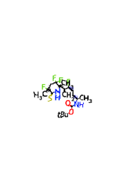 C=C(/C(F)=C\C=C(/C)NC(=O)OC(C)(C)C)[C@@]1(C)NC(=S)[C@@](C)(F)CC1(F)F